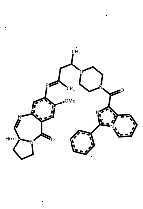 COc1cc2c(cc1/P=C(\C)CC(C)N1CCN(C(=O)c3nc(-c4ccccc4)n4ccccc34)CC1)N=C[C@@H]1CCCN1C2=O